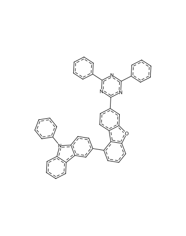 c1ccc(-c2nc(-c3ccccc3)nc(-c3ccc4c(c3)oc3cccc(-c5ccc6c(c5)c5ccccc5n6-c5ccccc5)c34)n2)cc1